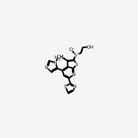 Cn1cncc1-c1cc(-c2nccs2)nc2sc([S+]([O-])CCO)c(N)c12